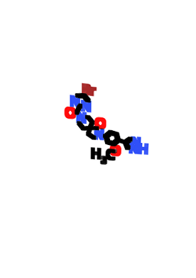 COc1cc(N2CCC3(CCN(C(=O)c4ncc(Br)cn4)CC3)C2=O)ccc1-c1cn[nH]c1